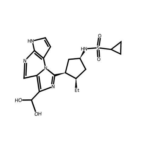 CC[C@@H]1C[C@H](NS(=O)(=O)C2CC2)C[C@@H]1c1nc(C(O)O)c2cnc3[nH]ccc3n12